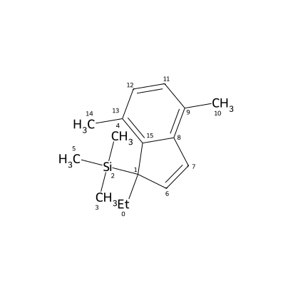 CCC1([Si](C)(C)C)C=Cc2c(C)ccc(C)c21